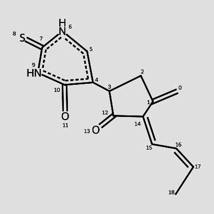 C=C1CC(c2c[nH]c(=S)[nH]c2=O)C(=O)/C1=C/C=C\C